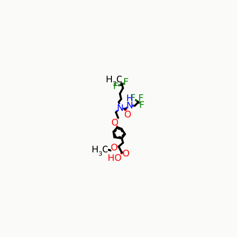 CCOC(Cc1ccc(OCCN(CCCCC(C)(F)F)C(=O)NCC(F)(F)F)cc1)C(=O)O